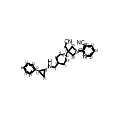 N#CCC1(N2CCC(CN[C@@H]3C[C@H]3c3ccccc3)CC2)CN(c2ncccc2C#N)C1